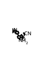 C=C(C#N)CN1Cc2c(-c3ccc4nnn(C)c4c3)ccc(N)c2C1=O